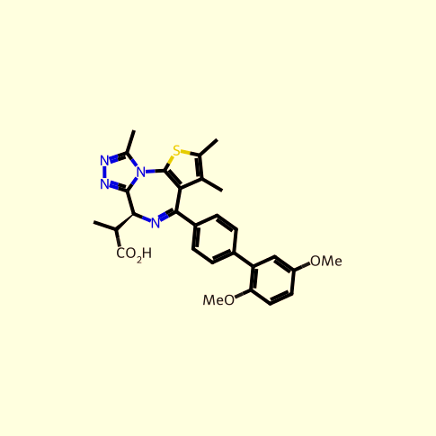 COc1ccc(OC)c(-c2ccc(C3=N[C@@H](C(C)C(=O)O)c4nnc(C)n4-c4sc(C)c(C)c43)cc2)c1